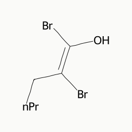 CCCCC(Br)=C(O)Br